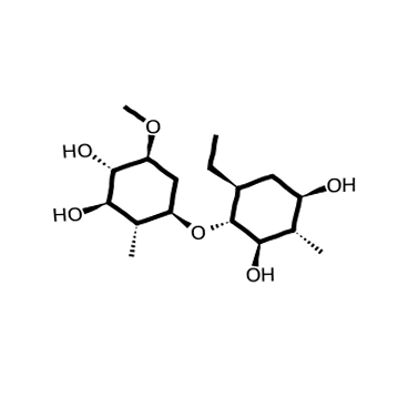 CC[C@H]1C[C@@H](O)[C@H](C)[C@@H](O)[C@@H]1O[C@@H]1C[C@H](OC)[C@@H](O)[C@H](O)[C@H]1C